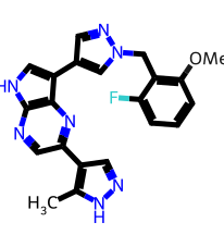 COc1cccc(F)c1Cn1cc(-c2c[nH]c3ncc(-c4cn[nH]c4C)nc23)cn1